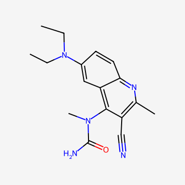 CCN(CC)c1ccc2nc(C)c(C#N)c(N(C)C(N)=O)c2c1